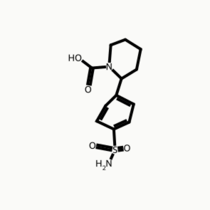 NS(=O)(=O)c1ccc(C2CCCCN2C(=O)O)cc1